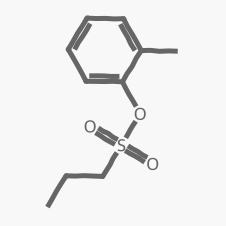 CCCS(=O)(=O)Oc1ccccc1C